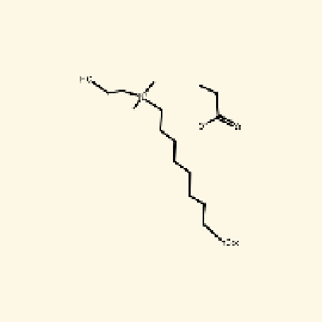 CCC(=O)[O-].CCCCCCCCCCCCCCCCCC[N+](C)(C)CCO